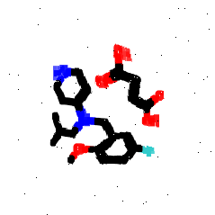 COc1ccc(F)cc1CN(CC(C)C)C1CCNCC1.O=C(O)/C=C/C(=O)O